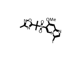 COc1cc2ncc(I)n2cc1S(=O)(=O)C(C)(C)c1nc(C)no1